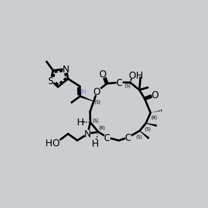 C/C(=C\c1csc(C)n1)[C@@H]1C[C@H]2[C@@H](CCC[C@H](C)[C@H](C)[C@@H](C)C(=O)C(C)(C)[C@@H](O)CC(=O)O1)N2CCO